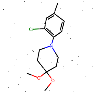 COC1(OC)CCN(c2ccc(C)cc2Cl)CC1